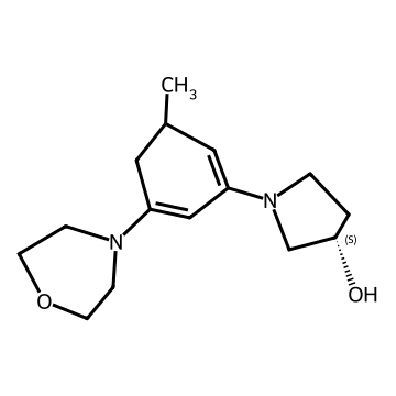 CC1C=C(N2CC[C@H](O)C2)C=C(N2CCOCC2)C1